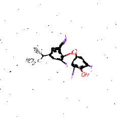 CC(C)(C)C(C(=O)O)c1cc(I)c(Oc2cc(I)c(O)c(I)c2)c(I)c1